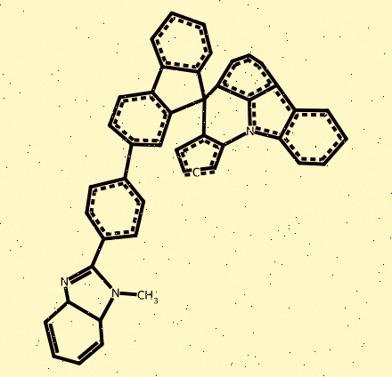 CN1C(c2ccc(-c3ccc4c(c3)C3(c5ccccc5-4)c4ccccc4-n4c5ccccc5c5cccc3c54)cc2)=NC2C=CC=CC21